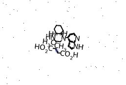 CC1(C)CN(c2ccnc3[nH]ccc23)[C@H]2CCCC[C@@H]2N1.O=C(O)/C=C/C(=O)O